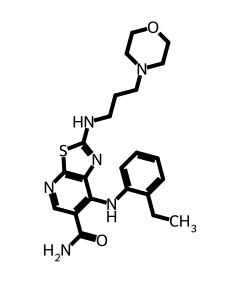 CCc1ccccc1Nc1c(C(N)=O)cnc2sc(NCCCN3CCOCC3)nc12